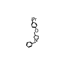 CC(C)c1ccc(OCC2CCN(Cc3ccccc3)C2)cc1